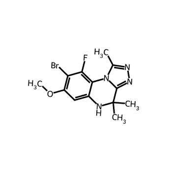 COc1cc2c(c(F)c1Br)-n1c(C)nnc1C(C)(C)N2